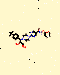 CC(C)(C)c1ccc(C(C(O)CO)N2CCN(c3ncc(C(=O)NOC4CCCCO4)cn3)CC2)cc1